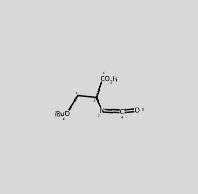 CC(C)COCC(N=C=O)C(=O)O